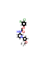 O=C(COc1ccc(Cl)c(F)c1)N[C@H]1CCCN([C@H]2CC[C@H](OC(F)(F)F)C2)C1